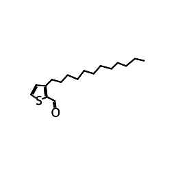 CCCCCCCCCCCCc1ccsc1C=O